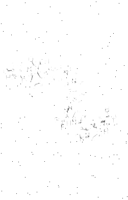 Cn1c(=O)n(C2CCC(=O)NC2=O)c2cccc(C3CC(CN4CCN(C[C@H]5CC[C@H](n6cc(NC(=O)c7cnn8ccc(N9C[C@H]%10C[C@@H]9CO%10)nc78)c(C(F)F)n6)CC5)CC4)C3)c21